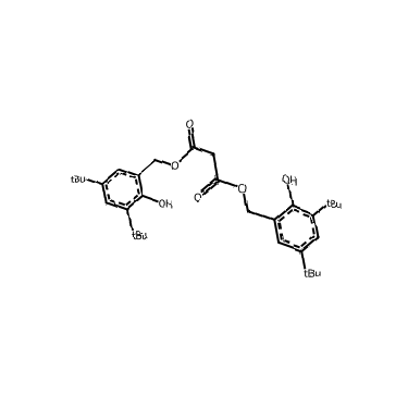 CC(C)(C)c1cc(COC(=O)CC(=O)OCc2cc(C(C)(C)C)cc(C(C)(C)C)c2O)c(O)c(C(C)(C)C)c1